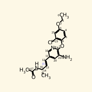 CCOc1ccc(Oc2ncc(/C=C/[C@H](C)NC(C)=O)cc2N)c(Cl)c1